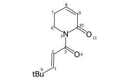 CC(C)(C)C=CC(=O)N1CCC=CC1=O